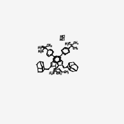 CC[CH2][Zr]([CH3])(=[SiH2])([CH]1C(CC2C3CC4CC(C3)CC2C4)=Cc2c(-c3ccc([Si](C)(C)C)cc3)cccc21)[CH]1C(CC2C3CC4CC(C3)CC2C4)=Cc2c(-c3ccc([Si](C)(C)C)cc3)cccc21.Cl.Cl